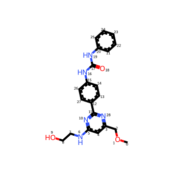 COCc1cc(NCCO)nc(-c2ccc(NC(=O)Nc3ccccc3)cc2)n1